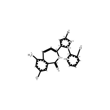 Cc1cc(Cl)cc2c1C=C=C(c1cc(Br)nn1-c1ncccc1Cl)OC2=O